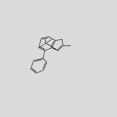 CC1=C2c3c(ccc(c3-c3ccccc3)[Si]2(C)C)[CH]1